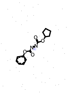 O=C(/N=N/C(=O)OC1CCCC1)Oc1ccccc1